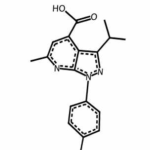 Cc1cc(C(=O)O)c2c(C(C)C)nn(-c3ccc(Cl)cc3)c2n1